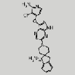 Nc1nccc(Oc2n[nH]c3nc(N4CCC5(CC4)Cc4ccccc4[C@@H]5N)cnc23)c1Cl